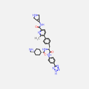 Cc1nc(C(=O)NC2C3CNCC32)ccc1-c1ccc(C[C@H](NC(=O)[C@H]2CC[C@H](CN)CC2)C(=O)Nc2ccc(-c3nn[nH]n3)cc2)cc1